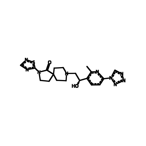 Cc1nc(-n2cnnn2)ccc1[C@@H](O)CN1CCC2(CC1)CCN(c1ncns1)C2=O